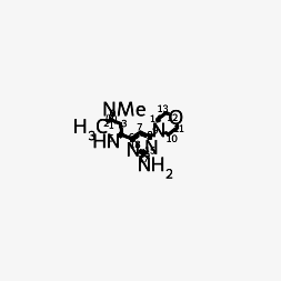 CN[C@H](C)CC(=N)c1cc(N2CCOCC2)nc(N)n1